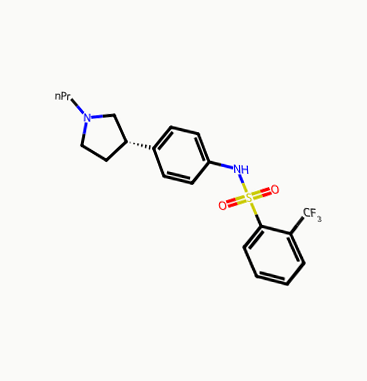 CCCN1CC[C@@H](c2ccc(NS(=O)(=O)c3ccccc3C(F)(F)F)cc2)C1